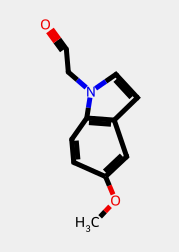 COc1ccc2c(ccn2CC=O)c1